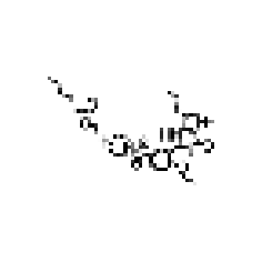 CCCCCC(=O)OCCN1CCN(S(=O)(=O)c2ccc(OCC)c(-c3nc(=O)c4c([nH]3)c(CCC)cn4C)c2)CC1